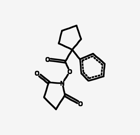 O=C1CCC(=O)N1OC(=O)C1(c2ccccc2)CCCC1